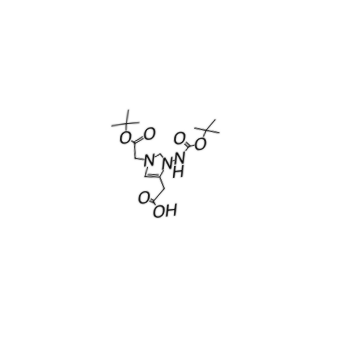 CC(C)(C)OC(=O)CN1C=C(CC(=O)O)N(NC(=O)OC(C)(C)C)C1